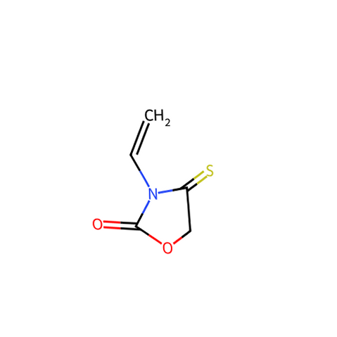 C=CN1C(=O)OCC1=S